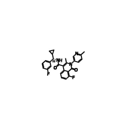 Cc1ccc(-n2c(C)c(C(=O)N[C@H](c3cccc(F)c3)C3CC3)c3cccc(F)c3c2=O)cn1